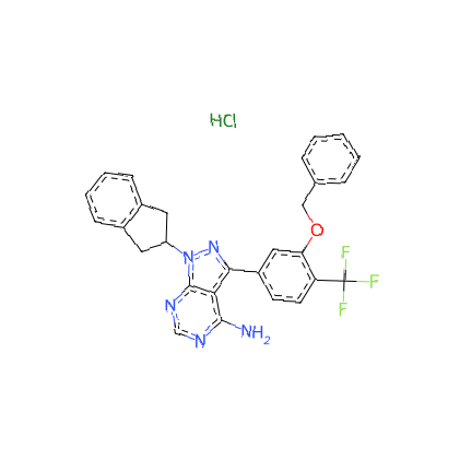 Cl.Nc1ncnc2c1c(-c1ccc(C(F)(F)F)c(OCc3ccccc3)c1)nn2C1Cc2ccccc2C1